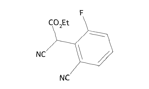 CCOC(=O)C(C#N)c1c(F)cccc1C#N